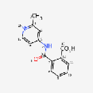 Cc1cc(NC(=O)c2ccccc2C(=O)O)ccn1